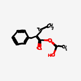 C[Te]C(C(=O)OC(C)O)c1ccccc1